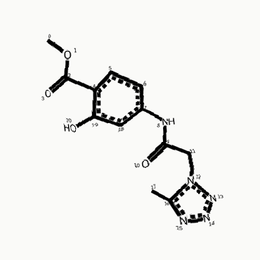 COC(=O)c1ccc(NC(=O)Cn2nnnc2C)cc1O